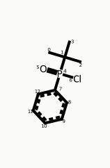 CC(C)(C)P(=O)(Cl)c1ccccc1